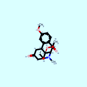 COc1ccc2c(c1)[C@@]13CCN(C)C(C2)[C@]1(OC(C)=O)CCC(=O)C3